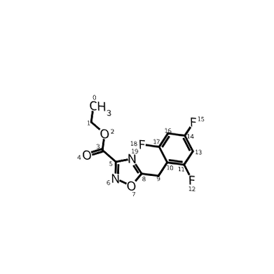 CCOC(=O)c1noc(Cc2c(F)cc(F)cc2F)n1